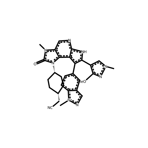 COc1nn(C)cc1-c1[nH]c2ncc3c(c2c1-c1ccc2c(cnn2C)c1)n([C@H]1CC[C@@H](CC#N)CC1)c(=O)n3C